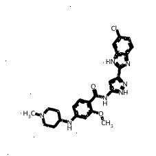 COc1cc(NC2CCN(C)CC2)ccc1C(=O)Nc1cc(-c2nc3ccc(Cl)cc3[nH]2)n[nH]1